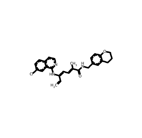 C=C/C(=C\C=C(/C)C(=O)NCc1ccc2c(c1)CCCO2)Nc1nccc2ccc(Cl)cc12